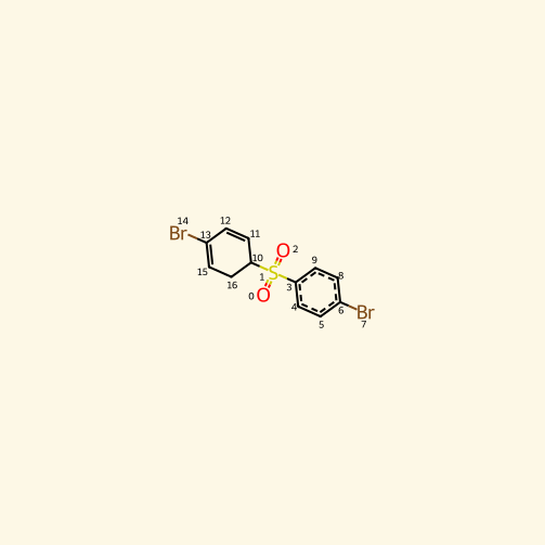 O=S(=O)(c1ccc(Br)cc1)C1C=CC(Br)=CC1